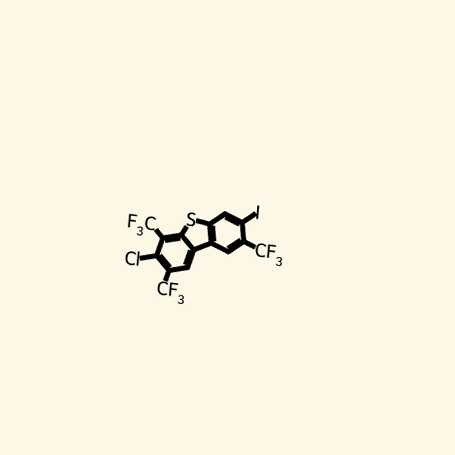 FC(F)(F)c1cc2c(cc1I)sc1c(C(F)(F)F)c(Cl)c(C(F)(F)F)cc12